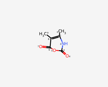 Cc1[nH]c(=O)oc(=O)c1C